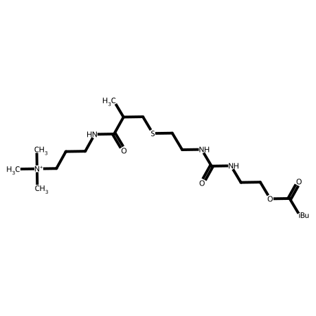 CCC(C)C(=O)OCCNC(=O)NCCSCC(C)C(=O)NCCC[N+](C)(C)C